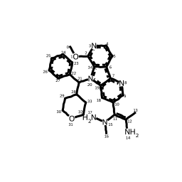 COc1nccc2c3ncc(/C(=C(\C)N)N(C)N)cc3n(C(c3ccccc3)C3CCOCC3)c12